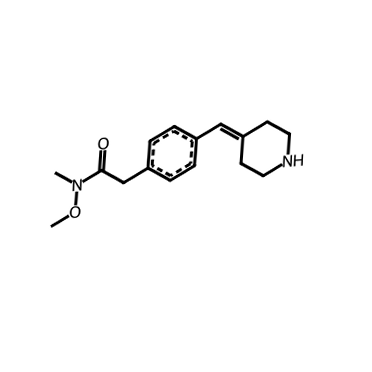 CON(C)C(=O)Cc1ccc(C=C2CCNCC2)cc1